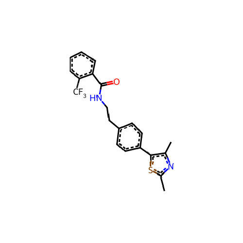 Cc1nc(C)c(-c2ccc(CCNC(=O)c3ccccc3C(F)(F)F)cc2)s1